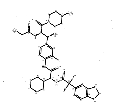 CCC(=O)N[C@@H](C(=O)N1CCN(C)CC1)[C@@H](C)c1ccc(NC(=O)[C@@H](NC(=O)C(F)(F)c2ccc3c(c2)OCO3)C2CCCCC2)c(F)c1